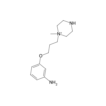 C[N+]1(CCCOc2cccc(N)c2)CCNCC1